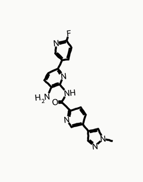 Cn1cc(-c2ccc(C(=O)Nc3nc(-c4ccc(F)nc4)ccc3N)nc2)cn1